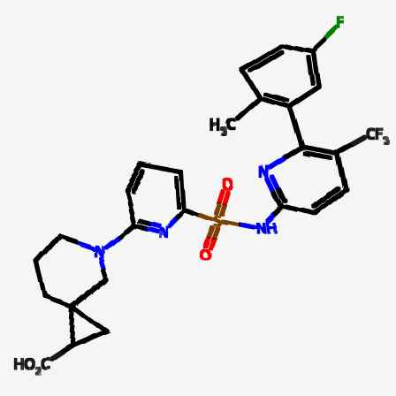 Cc1ccc(F)cc1-c1nc(NS(=O)(=O)c2cccc(N3CCCC4(CC4C(=O)O)C3)n2)ccc1C(F)(F)F